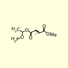 COC(=O)/C=C/C(=O)OC(C)OP